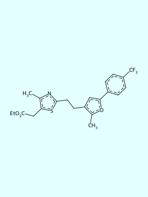 CCOC(=O)Cc1sc(CCc2cc(-c3ccc(C(F)(F)F)cc3)oc2C)nc1C